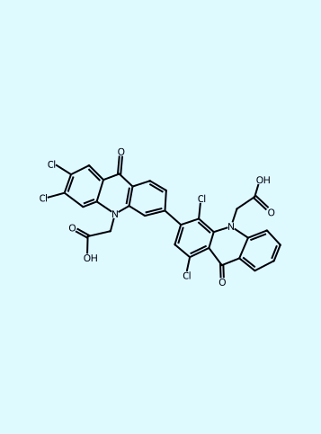 O=C(O)Cn1c2cc(-c3cc(Cl)c4c(=O)c5ccccc5n(CC(=O)O)c4c3Cl)ccc2c(=O)c2cc(Cl)c(Cl)cc21